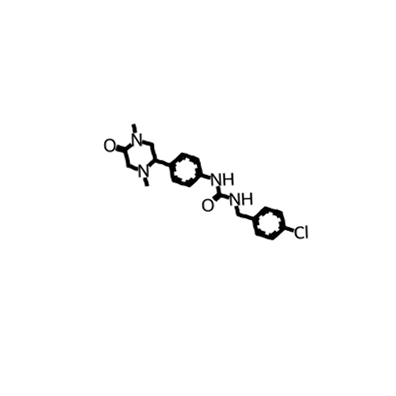 CN1CC(c2ccc(NC(=O)NCc3ccc(Cl)cc3)cc2)N(C)CC1=O